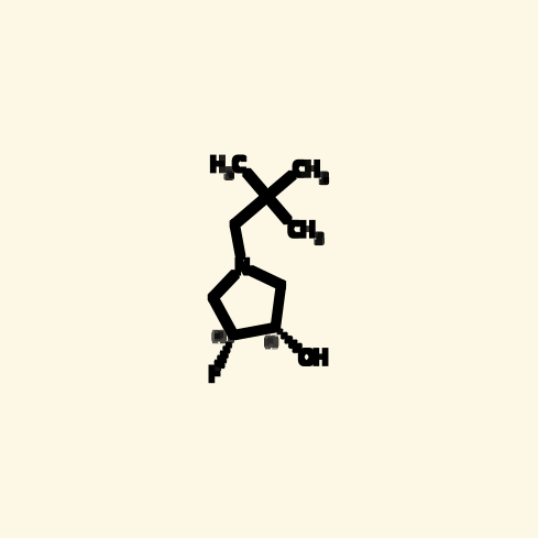 CC(C)(C)CN1C[C@@H](F)[C@@H](O)C1